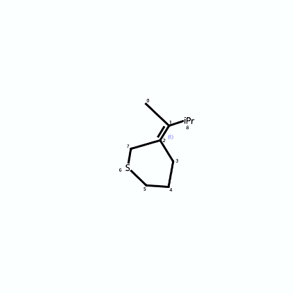 C/C(=C1/CCCSC1)C(C)C